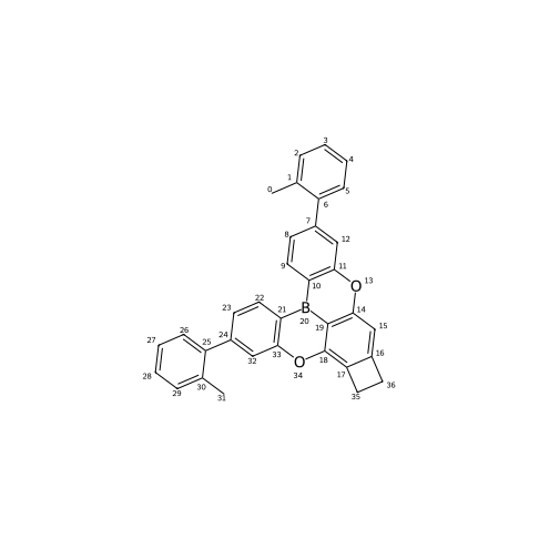 Cc1ccccc1-c1ccc2c(c1)Oc1cc3c(c4c1B2c1ccc(-c2ccccc2C)cc1O4)CC3